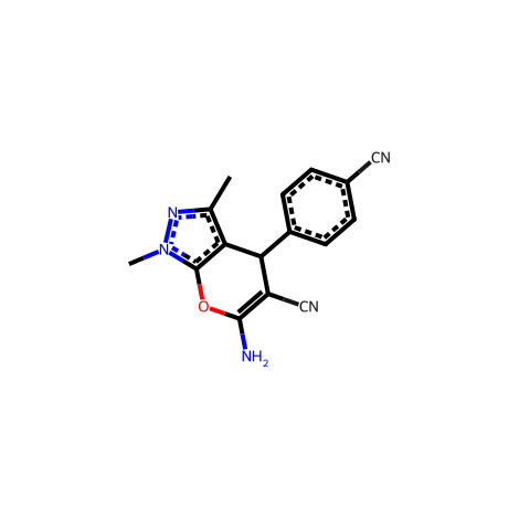 Cc1nn(C)c2c1C(c1ccc(C#N)cc1)C(C#N)=C(N)O2